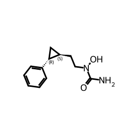 NC(=O)N(O)CC[C@@H]1C[C@H]1c1ccccc1